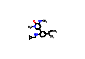 CC[SiH](C)c1ccc(NCC2CC2)c(-c2cc(NC)c(=O)n(C)c2)c1